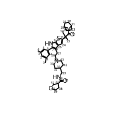 Cc1cc(C)cc(-c2[nH]c3sc(C(C)(C)C(=O)N4C5CCC4CC5)cc3c2CCN2CCC(CNC(=O)C3CCOC3)CC2)c1